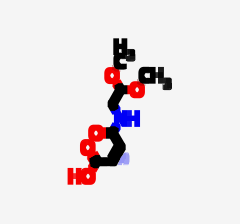 COC(CNC(=O)/C=C\C(=O)O)OC